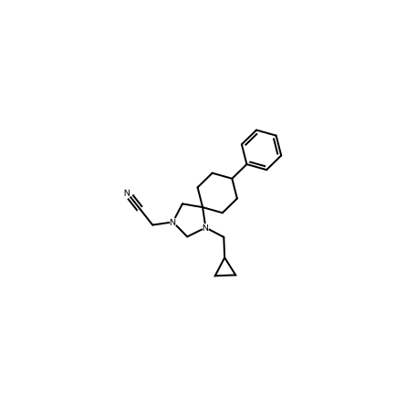 N#CCN1CN(CC2CC2)C2(CCC(c3ccccc3)CC2)C1